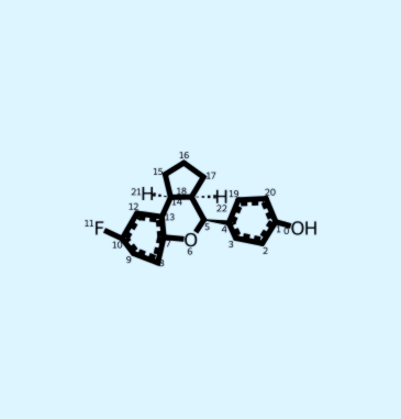 Oc1ccc([C@H]2Oc3ccc(F)cc3[C@H]3CCC[C@H]32)cc1